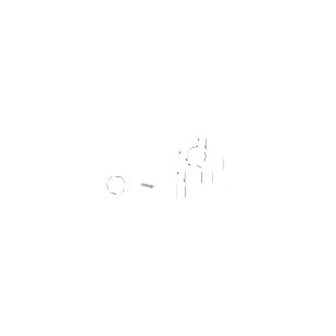 Bc1c(NCCC#Cc2ccccc2)ncnc1C(C)F